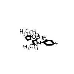 Cc1[nH]n(-c2ccc(F)cc2F)c(=O)c1[C@@H]1CC[C@@H](C)C1(C)C